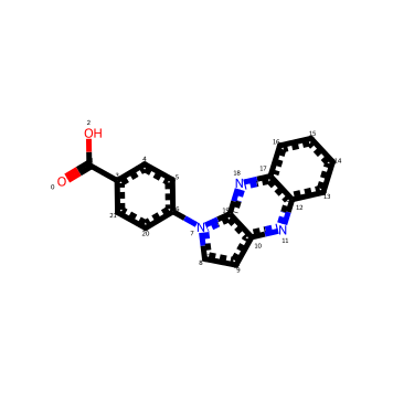 O=C(O)c1ccc(-n2ccc3nc4ccccc4nc32)cc1